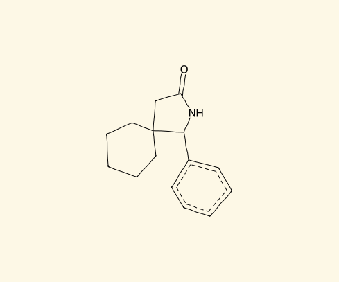 O=C1CC2(CCCCC2)C(c2ccccc2)N1